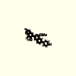 COc1nc(-c2cc3cn(C)nc3c(C)c2O)nc2ncc(N3CCNCC3)cc12